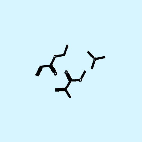 C=C(C)C(=O)OC.C=CC(=O)OCC.CN(C)C